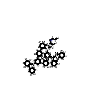 C=C/C=C\c1c(C)nc2n(-c3cc([Si](c4ccccc4)(c4ccccc4)c4ccc(-n5c6ccccc6c6ccccc65)cc4)nc(-n4c5ccccc5n5c6ccccc6nc45)n3)c3ccccc3n12